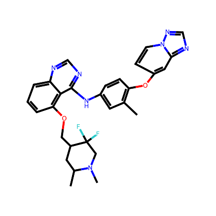 Cc1cc(Nc2ncnc3cccc(OCC4CC(C)N(C)CC4(F)F)c23)ccc1Oc1ccn2ncnc2c1